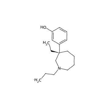 [CH2]CCN1CCCC[C@@](CC)(c2cccc(O)c2)C1